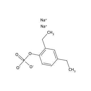 CCc1ccc(OP(=O)([O-])[O-])c(CC)c1.[Na+].[Na+]